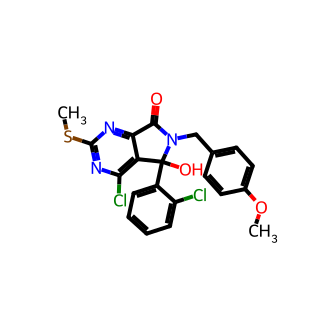 COc1ccc(CN2C(=O)c3nc(SC)nc(Cl)c3C2(O)c2ccccc2Cl)cc1